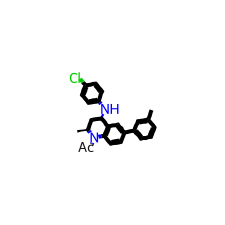 CC(=O)N1c2ccc(-c3cccc(C)c3)cc2[C@H](Nc2ccc(Cl)cc2)C[C@@H]1C